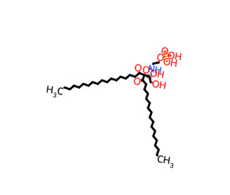 CCCCCCCCCCCCCCCCCC(=O)C(ONCCOP(=O)(O)O)(C(=O)CCCCCCCCCCCCCCCCC)[C@@H](O)CO